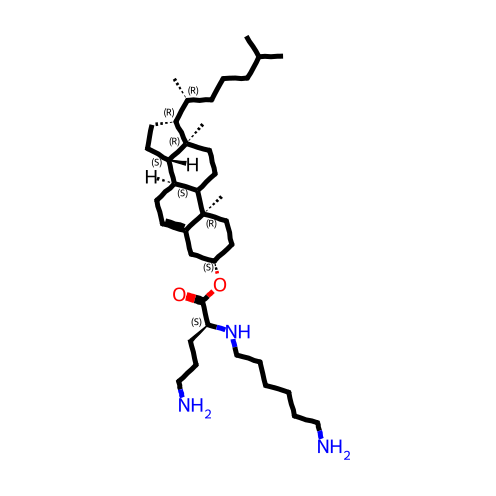 CC(C)CCC[C@@H](C)[C@H]1CC[C@H]2[C@@H]3CC=C4C[C@@H](OC(=O)[C@H](CCCN)NCCCCCCN)CC[C@]4(C)C3CC[C@]12C